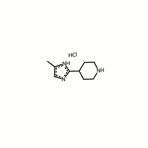 Cc1cnc(C2CCNCC2)[nH]1.Cl